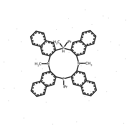 CC(C)P1c2cc3ccccc3cc2N(C)c2cc3ccccc3cc2[PH](C)(C(C)C)c2cc3ccccc3cc2N(C)c2cc3ccccc3cc21